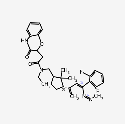 C=C(/C=C(\N=N/C)c1c(F)cccc1F)[C@@H]1CCC(CN(CC)C(=O)CC2Oc3ccccc3NC2=O)C1(C)C